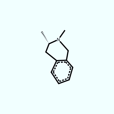 C[C@H]1Cc2ccccc2CN1C